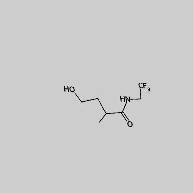 CC(CCO)C(=O)NCC(F)(F)F